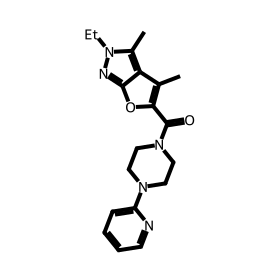 CCn1nc2oc(C(=O)N3CCN(c4ccccn4)CC3)c(C)c2c1C